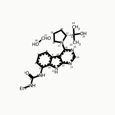 CCNC(=O)Nc1cccc2c1[nH]c1ncnc(N3CCC[C@@H]3C(C)(C)O)c12.O=CO